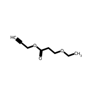 C#CCOC(=O)CCOCC